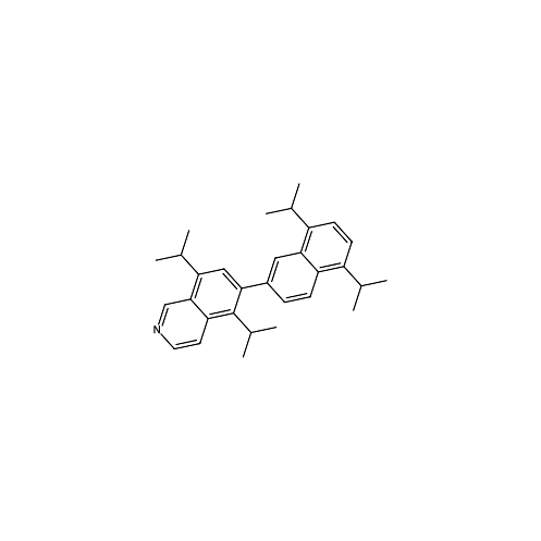 CC(C)c1ccc(C(C)C)c2cc(-c3cc(C(C)C)c4cnccc4c3C(C)C)ccc12